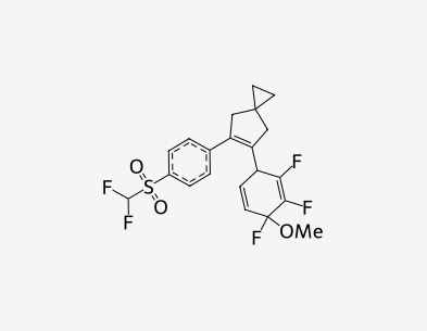 COC1(F)C=CC(C2=C(c3ccc(S(=O)(=O)C(F)F)cc3)CC3(CC3)C2)C(F)=C1F